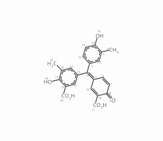 Cc1cc(/C(=C2\C=CC(=O)C(C(=O)O)=C2)c2cc(C)c(O)c(C(=O)O)c2)ccc1O